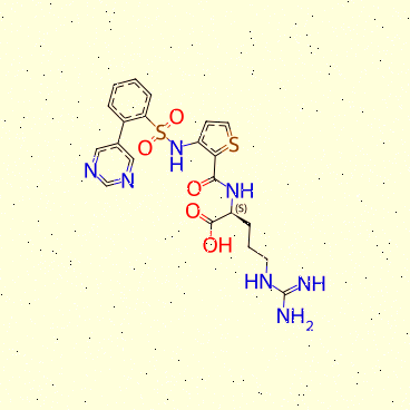 N=C(N)NCCC[C@H](NC(=O)c1sccc1NS(=O)(=O)c1ccccc1-c1cncnc1)C(=O)O